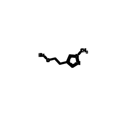 CCC(C)OCCc1cnn(C)c1